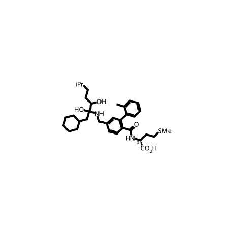 CSCC[C@H](NC(=O)c1ccc(CNC(O)(CC2CCCCC2)C(O)CCC(C)C)cc1-c1ccccc1C)C(=O)O